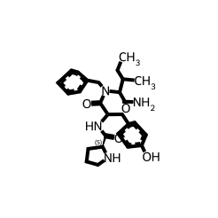 CCC(C)C(C(N)=O)N(Cc1ccccc1)C(=O)C(Cc1ccc(O)cc1)NC(=O)[C@@H]1CCCN1